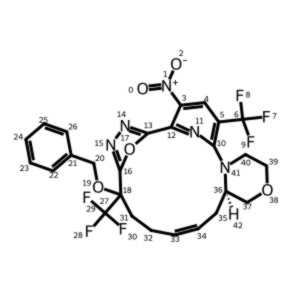 O=[N+]([O-])c1cc(C(F)(F)F)c2nc1-c1nnc(o1)C(OCc1ccccc1)(C(F)(F)F)CCC=CC[C@@H]1COCCN21